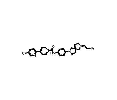 CC(C)CCN1CCC2(CCN(c3ccc(NC(=O)N4CC=C(c5ccc(Cl)cn5)CC4)cc3)C2)C1